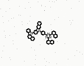 c1ccc2cc3c(cc2c1)c1cc(-n2c4ccccc4c4ccc5ccccc5c42)ccc1n3-c1ccc(-c2nc(-c3cccc4ccccc34)nc(-c3cccc4ccccc34)n2)cc1